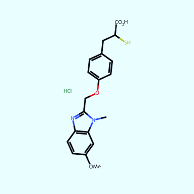 COc1ccc2nc(COc3ccc(CC(S)C(=O)O)cc3)n(C)c2c1.Cl